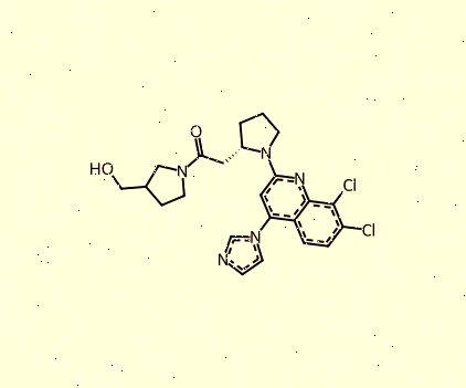 O=C(C[C@@H]1CCCN1c1cc(-n2ccnc2)c2ccc(Cl)c(Cl)c2n1)N1CCC(CO)C1